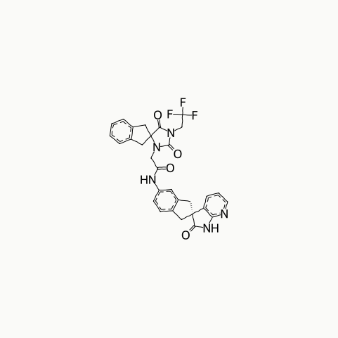 O=C(CN1C(=O)N(CC(F)(F)F)C(=O)C12Cc1ccccc1C2)Nc1ccc2c(c1)C[C@@]1(C2)C(=O)Nc2ncccc21